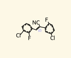 N#C/C(=C\c1cccc(Cl)c1F)c1cc(Cl)ccc1F